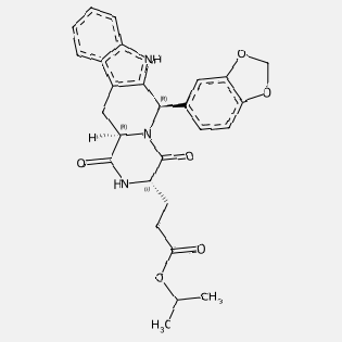 CC(C)OC(=O)CC[C@@H]1NC(=O)[C@H]2Cc3c([nH]c4ccccc34)[C@@H](c3ccc4c(c3)OCO4)N2C1=O